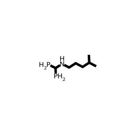 CC(C)CCCNC(P)P